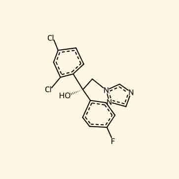 O[C@](Cn1cncn1)(c1ccc(F)cc1)c1ccc(Cl)cc1Cl